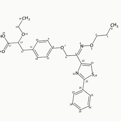 CCCON=C(COc1ccc(CC(OCC)C(=O)O)cc1)c1csc(-c2ccccc2)n1